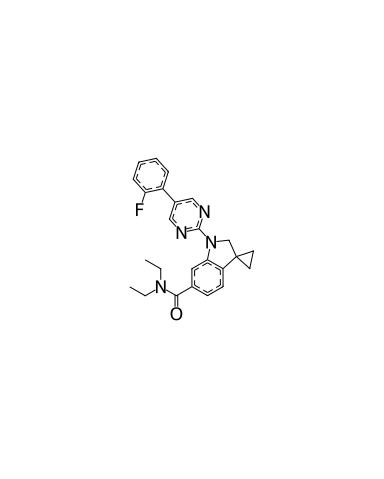 CCN(CC)C(=O)c1ccc2c(c1)N(c1ncc(-c3ccccc3F)cn1)CC21CC1